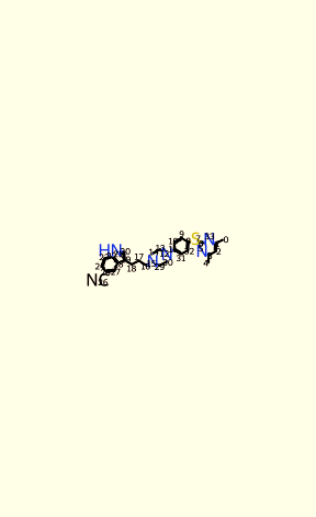 Cc1cc(C)nc(Sc2ccc(N3CCN(CCCc4c[nH]c5ccc(C#N)cc45)CC3)cc2)n1